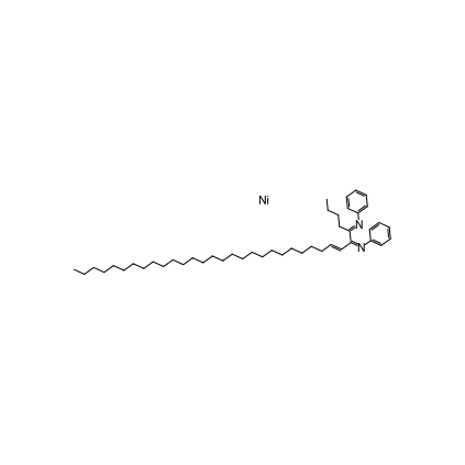 CCCCCCCCCCCCCCCCCCCCCCCCCCC=CC(=Nc1ccccc1)C(CCCC)=Nc1ccccc1.[Ni]